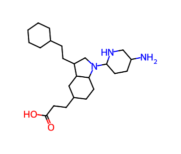 NC1CCC(N2CC(CCC3CCCCC3)C3CC(CCC(=O)O)CCC32)NC1